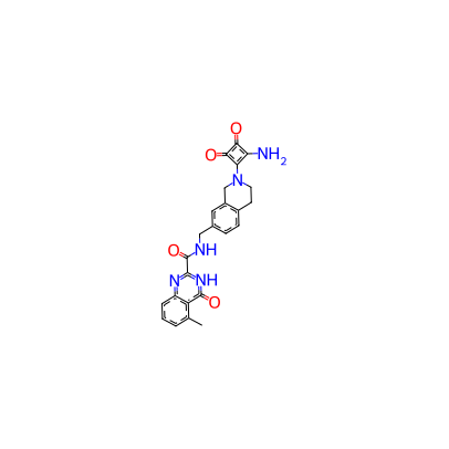 Cc1cccc2nc(C(=O)NCc3ccc4c(c3)CN(c3c(N)c(=O)c3=O)CC4)[nH]c(=O)c12